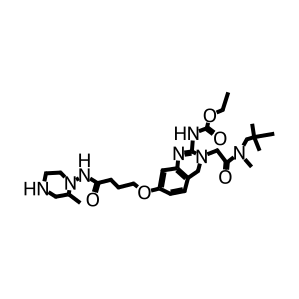 CCOC(=O)NC1=Nc2cc(OCCCC(=O)NN3CCNCC3C)ccc2CN1CC(=O)N(C)CC(C)(C)C